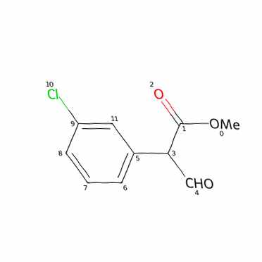 COC(=O)C(C=O)c1cccc(Cl)c1